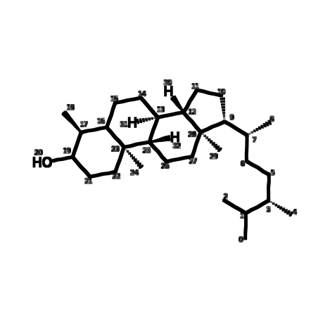 CC(C)[C@@H](C)CC[C@@H](C)[C@H]1CC[C@H]2[C@@H]3CCC4[C@H](C)C(O)CC[C@]4(C)[C@H]3CC[C@]12C